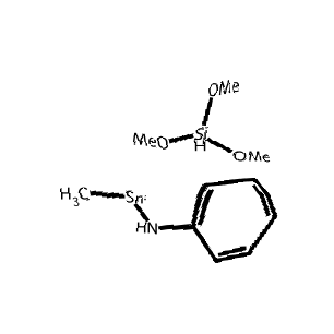 CO[SiH](OC)OC.[CH3][Sn][NH]c1ccccc1